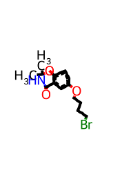 CC1(C)NC(=O)c2cc(OCCCCBr)ccc2O1